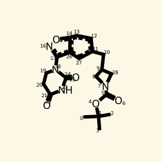 CC(C)(C)OC(=O)N1CC(Cc2ccc3onc(N4CCC(=O)NC4=O)c3c2)C1